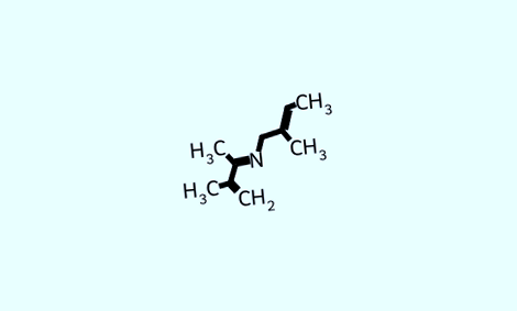 C=C(C)/C(C)=N/C/C(C)=C/C